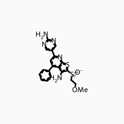 COCC[S@+]([O-])c1sc2nc(-c3cnc(N)nc3)cc(-c3ccccc3)c2c1N